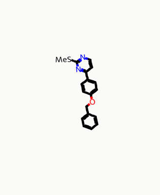 CSc1nccc(-c2ccc(OCc3ccccc3)cc2)n1